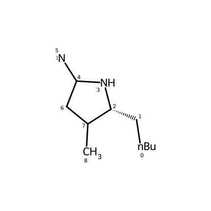 CCCCC[C@H]1NC([N])CC1C